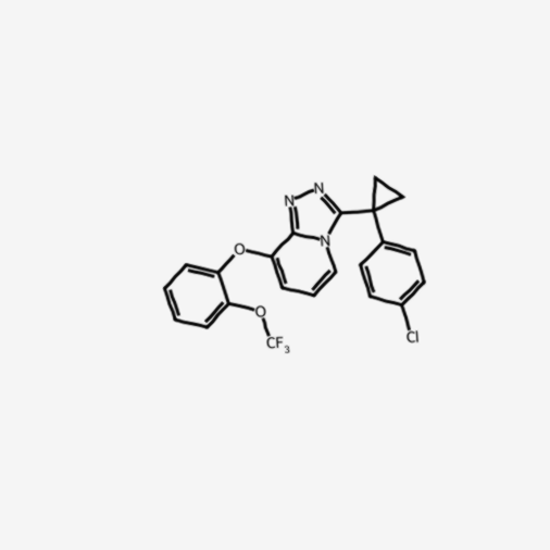 FC(F)(F)Oc1ccccc1Oc1cccn2c(C3(c4ccc(Cl)cc4)CC3)nnc12